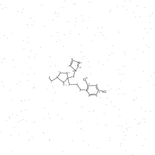 CCC1CSC(CCCc2ccc(Cl)cc2Cl)(Cn2ccnc2)S1